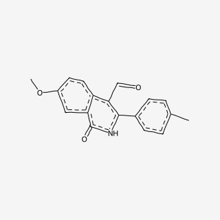 COc1ccc2c(C=O)c(-c3ccc(C)cc3)[nH]c(=O)c2c1